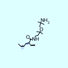 C=C/C(=C\C=C/C)C(=O)NCCC(C)(C)OCC(C)(C)N